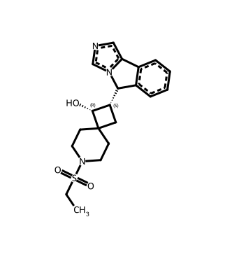 CCS(=O)(=O)N1CCC2(CC1)C[C@@H](C1c3ccccc3-c3cncn31)[C@H]2O